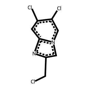 ClCc1cn2cc(Cl)c(Cl)cc2n1